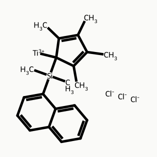 CC1=C(C)[C]([Ti+3])([Si](C)(C)c2cccc3ccccc23)C(C)=C1C.[Cl-].[Cl-].[Cl-]